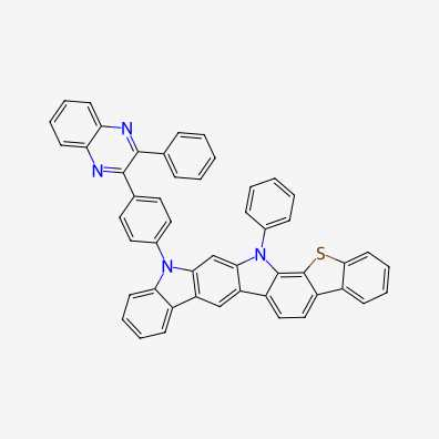 c1ccc(-c2nc3ccccc3nc2-c2ccc(-n3c4ccccc4c4cc5c6ccc7c8ccccc8sc7c6n(-c6ccccc6)c5cc43)cc2)cc1